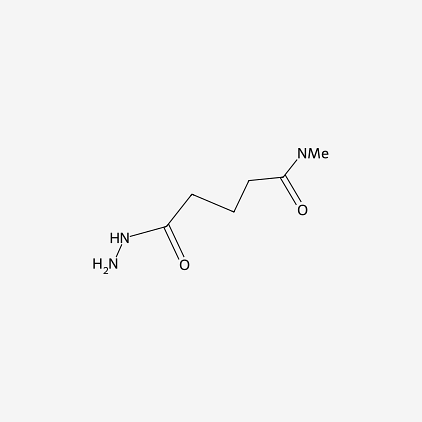 CNC(=O)CCCC(=O)NN